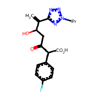 C=C(c1nnn(C(C)C)n1)C(O)CC(=O)C(C(=O)O)c1ccc(F)cc1